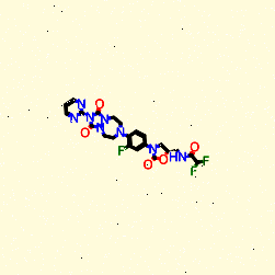 O=C(NC[C@H]1CN(c2ccc(N3CCn4c(=O)n(-c5ncccn5)c(=O)n4CC3)c(F)c2)C(=O)O1)C(F)F